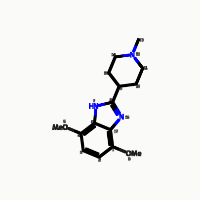 COc1ccc(OC)c2[nH]c(C3CCN(C)CC3)nc12